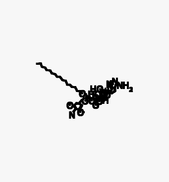 CCCCCCCCCCCCCCCCCCOC[C@H](COP(=O)(O)OC1[C@H]2O[C@@](C)(c3ccc4c(N)ncnn34)[C@H](O)[C@@]12O)OCc1cc(OC)c(C#N)c(OC)c1